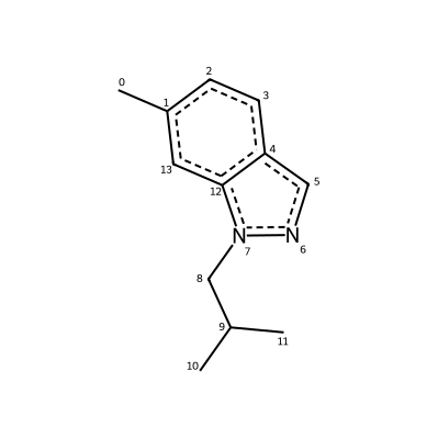 Cc1ccc2cnn(CC(C)C)c2c1